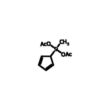 CC(=O)O[Si](C)(OC(C)=O)C1C=CC=C1